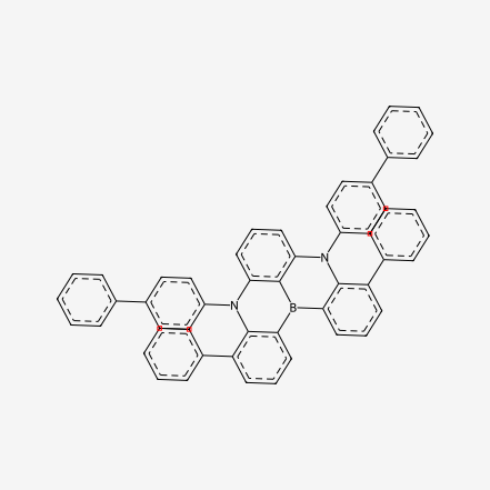 c1ccc(-c2ccc(N3c4cccc5c4B(c4cccc(-c6ccccc6)c43)c3cccc(-c4ccccc4)c3N5c3ccc(-c4ccccc4)cc3)cc2)cc1